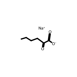 CCCCC(=O)C(=O)[O-].[Na+]